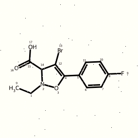 CCN1OC(c2ccc(F)cc2)=C(Br)C1C(=O)O